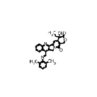 CC[C@@]1(O)C(=O)OCc2c1cc1n(c2=O)Cc2c-1nc1ccccc1c2C=Nc1c(C)cccc1C